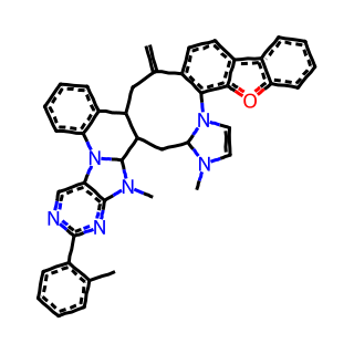 C=C1CC2c3ccccc3N3c4cnc(-c5ccccc5C)nc4N(C)C3C2CC2N(C)C=CN2c2c1ccc1c2oc2ccccc21